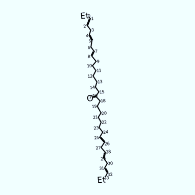 CCC=CCC=CCC=CCCCCCCCC(=O)CCCCCCCC=CCC=CCC=CCC